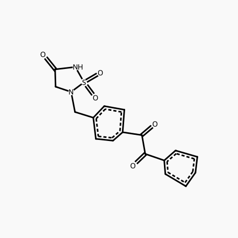 O=C1CN(Cc2ccc(C(=O)C(=O)c3ccccc3)cc2)S(=O)(=O)N1